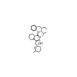 CC[C@H](Cc1ccccc1)[C@@H](OC(=O)[C@@H]1CCCCN1C(=O)C[C@]1(O)OC(C)CC[C@H]1C)C(C)C